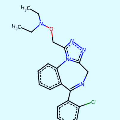 CCN(CC)OCc1nnc2n1-c1ccccc1C(c1ccccc1Cl)=NC2